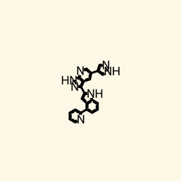 c1ccc(-c2cccc3[nH]c(-c4n[nH]c5ncc(-c6cn[nH]c6)cc45)cc23)nc1